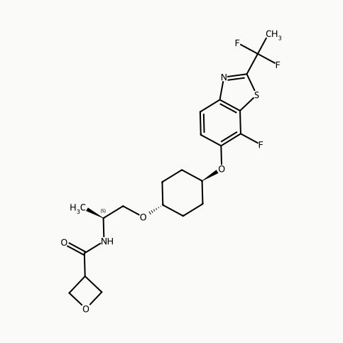 C[C@@H](CO[C@H]1CC[C@H](Oc2ccc3nc(C(C)(F)F)sc3c2F)CC1)NC(=O)C1COC1